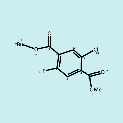 COC(=O)c1cc(F)c(C(=O)OC(C)(C)C)cc1Cl